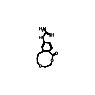 N=C(N)Nc1ccc2c(c1)CCCOCCOC2=O